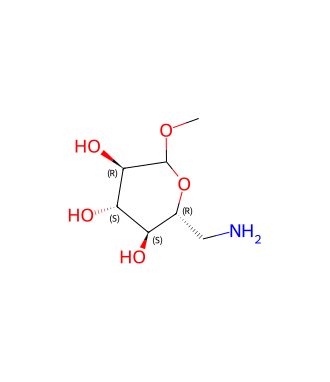 COC1O[C@H](CN)[C@@H](O)[C@H](O)[C@H]1O